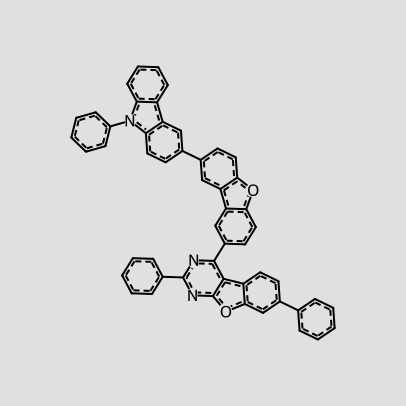 c1ccc(-c2ccc3c(c2)oc2nc(-c4ccccc4)nc(-c4ccc5oc6ccc(-c7ccc8c(c7)c7ccccc7n8-c7ccccc7)cc6c5c4)c23)cc1